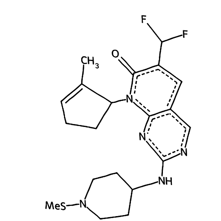 CSN1CCC(Nc2ncc3cc(C(F)F)c(=O)n(C4CCC=C4C)c3n2)CC1